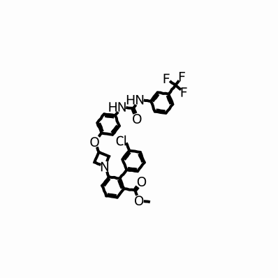 COC(=O)c1cccc(N2CC(Oc3ccc(NC(=O)Nc4cccc(C(F)(F)F)c4)cc3)C2)c1-c1cccc(Cl)c1